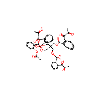 CC(=O)Oc1ccccc1C(=O)OCC(COC(=O)c1ccccc1C(=O)C(C)=O)(COC(=O)c1ccccc1C(=O)C(C)=O)COC(=O)c1ccccc1C(=O)C(C)=O